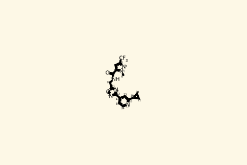 Cn1nc(C(F)(F)F)cc1C(=O)NCc1nc(-c2ccnc(C3CC3)c2)no1